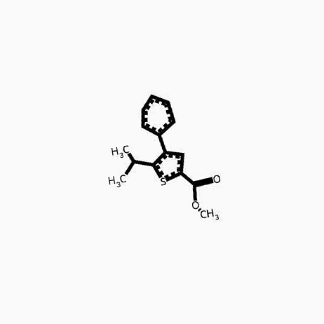 COC(=O)c1cc(-c2ccccc2)c(C(C)C)s1